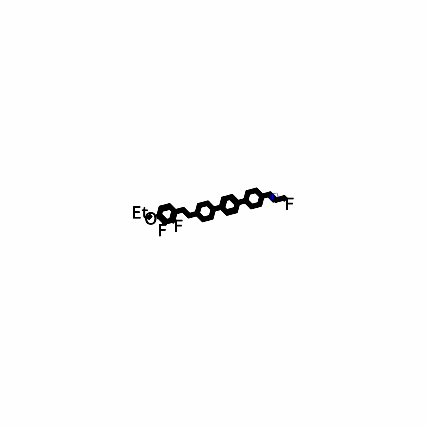 CCOc1ccc(CCC2CCC(c3ccc(C4CCC(/C=C/CF)CC4)cc3)CC2)c(F)c1F